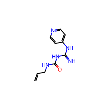 C=CCNC(=O)NC(=N)Nc1ccncc1